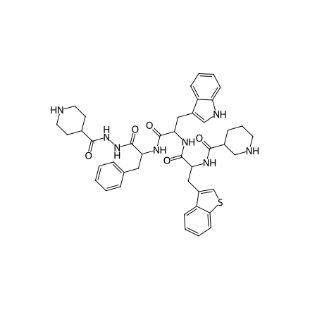 O=C(NNC(=O)C(Cc1ccccc1)NC(=O)C(Cc1c[nH]c2ccccc12)NC(=O)C(Cc1csc2ccccc12)NC(=O)C1CCCNC1)C1CCNCC1